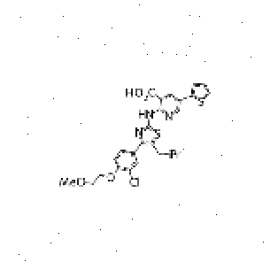 COCCOc1ccc(-c2nc(Nc3ncc(-c4cccs4)cc3C(=O)O)sc2CC(C)C)cc1Cl